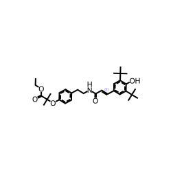 CCOC(=O)C(C)(C)Oc1ccc(CCNC(=O)/C=C/c2cc(C(C)(C)C)c(O)c(C(C)(C)C)c2)cc1